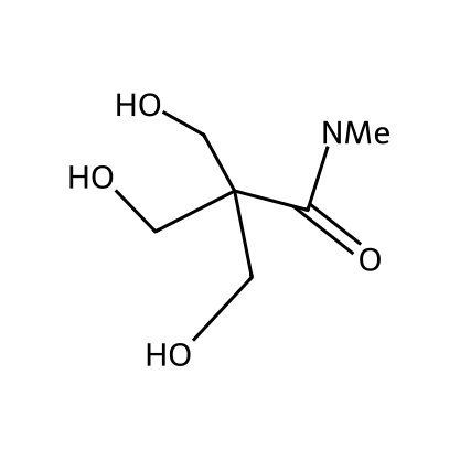 CNC(=O)C(CO)(CO)CO